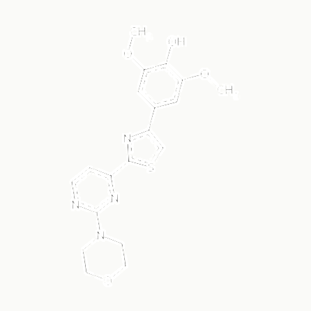 COc1cc(-c2csc(-c3ccnc(N4CCOCC4)n3)n2)cc(OC)c1O